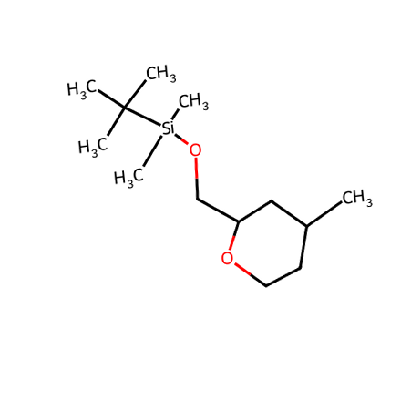 CC1CCOC(CO[Si](C)(C)C(C)(C)C)C1